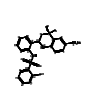 CCOC(=O)c1ccc2c(c1)C(C)(C)CC(c1ccccc1NS(=O)(=O)c1ccccc1F)N2